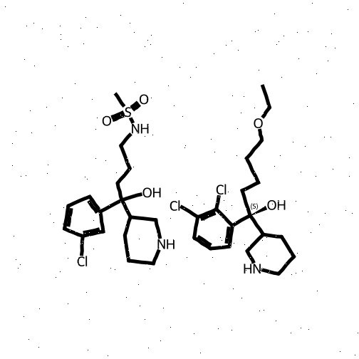 CCOCCCC[C@@](O)(c1cccc(Cl)c1Cl)C1CCCNC1.CS(=O)(=O)NCCCC(O)(c1cccc(Cl)c1)C1CCCNC1